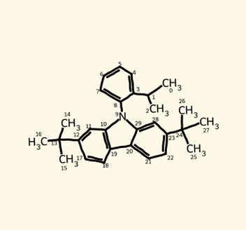 CC(C)c1ccccc1-n1c2cc(C(C)(C)C)ccc2c2ccc(C(C)(C)C)cc21